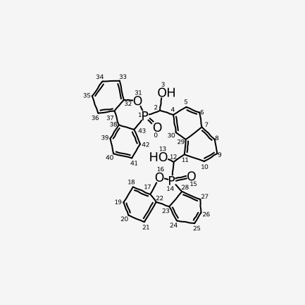 O=P1(C(O)c2ccc3cccc(C(O)P4(=O)Oc5ccccc5-c5ccccc54)c3c2)Oc2ccccc2-c2ccccc21